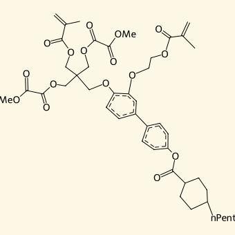 C=C(C)C(=O)OCCOc1cc(-c2ccc(OC(=O)C3CCC(CCCCC)CC3)cc2)ccc1OCC(COC(=O)C(=C)C)(COC(=O)C(=O)OC)COC(=O)C(=O)OC